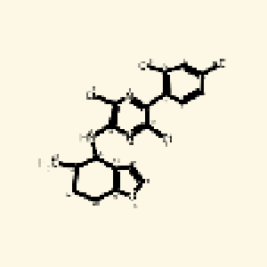 CCc1nc(-c2ccc(Cl)cc2Cl)c(CC)nc1NC1c2ccoc2CCC1C